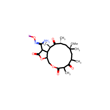 CO[C@@]1(C)CC(C)C(=O)C(C)C(=O)OCC2OC(=O)C(/C(N)=N/OI)C2[C@@H](C)C(=O)[C@H](C)C1